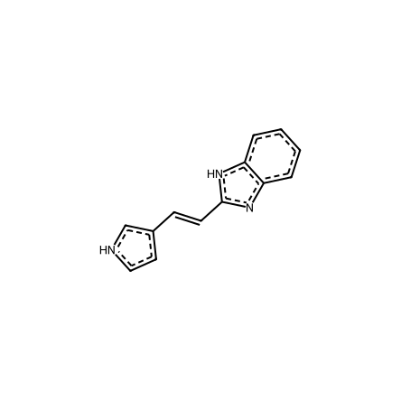 C(=Cc1nc2ccccc2[nH]1)c1cc[nH]c1